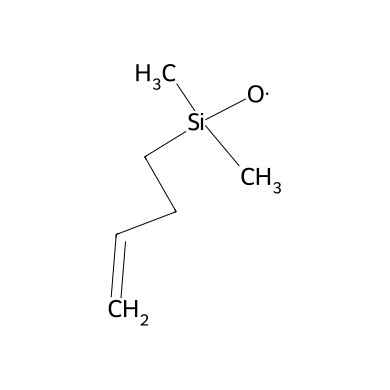 C=CCC[Si](C)(C)[O]